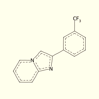 FC(F)(F)c1cccc(-c2cn3ccccc3n2)c1